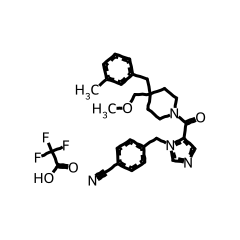 COCC1(Cc2cccc(C)c2)CCN(C(=O)c2cncn2Cc2ccc(C#N)cc2)CC1.O=C(O)C(F)(F)F